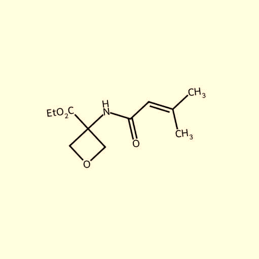 CCOC(=O)C1(NC(=O)C=C(C)C)COC1